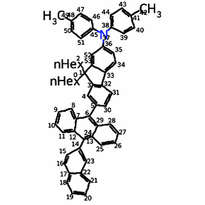 CCCCCCC1(CCCCCC)c2cc(-c3c4ccccc4c(-c4ccc5ccccc5c4)c4ccccc34)ccc2-c2ccc(N(c3ccc(C)cc3)c3ccc(C)cc3)cc21